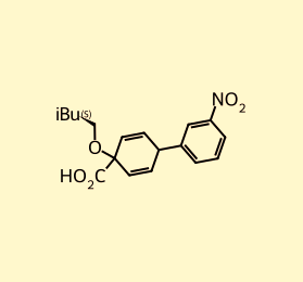 CC[C@H](C)COC1(C(=O)O)C=CC(c2cccc([N+](=O)[O-])c2)C=C1